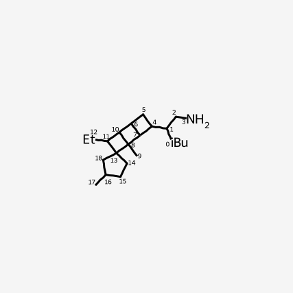 CCC(C)C(CN)C1CC2C1C1(C)C2C(CC)C12CCC(C)C2